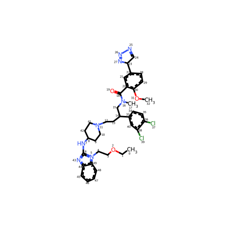 CCOCCn1c(NC2CCN(CCC(CN(C)C(=O)c3cc(C4C=NN=N4)ccc3OC)c3ccc(Cl)c(Cl)c3)CC2)nc2ccccc21